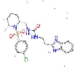 C[C@@H]1CCC[C@H](CNC(=O)NCCc2nc3ccccc3[nH]2)N1S(=O)(=O)c1ccc(Cl)cc1